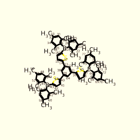 Cc1cc(C)c(B(c2ccc(-c3cc(-c4ccc(B(c5c(C)cc(C)cc5C)c5c(C)cc(C)cc5C)s4)cc(-c4ccc(B(c5c(C)cc(C)cc5C)c5c(C)cc(C)cc5C)s4)c3)s2)c2c(C)cc(C)cc2C)c(C)c1